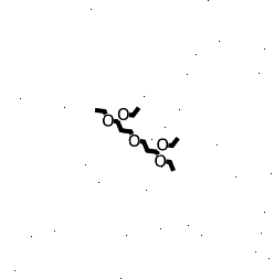 CCOC(CCOCCC(OCC)OCC)OCC